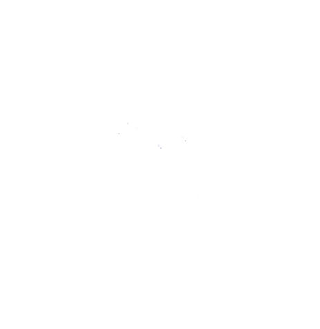 COCC(N)C(=O)NC(CCCc1cccc(Cl)c1)B1OC(C)(C)C(C)(C)O1.Cl